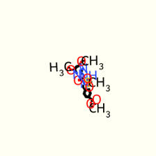 COC(=O)c1ccc(CN(C(=O)Nc2nc(OC)cc(OC)n2)S(C)(=O)=O)cc1